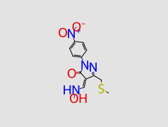 CSCC1=NN(c2ccc([N+](=O)[O-])cc2)C(=O)C1=CNO